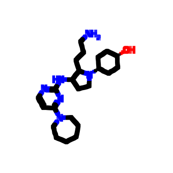 NCCCC1C(Nc2nccc(N3CCCCCC3)n2)CCN1[C@H]1CC[C@@H](O)CC1